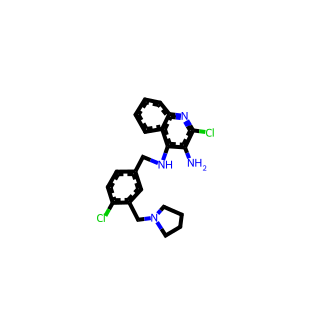 Nc1c(Cl)nc2ccccc2c1NCc1ccc(Cl)c(CN2CCCC2)c1